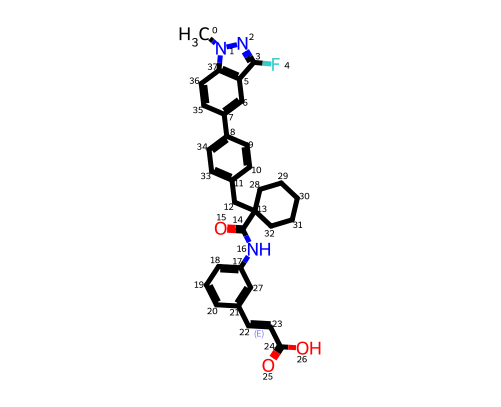 Cn1nc(F)c2cc(-c3ccc(CC4(C(=O)Nc5cccc(/C=C/C(=O)O)c5)CCCCC4)cc3)ccc21